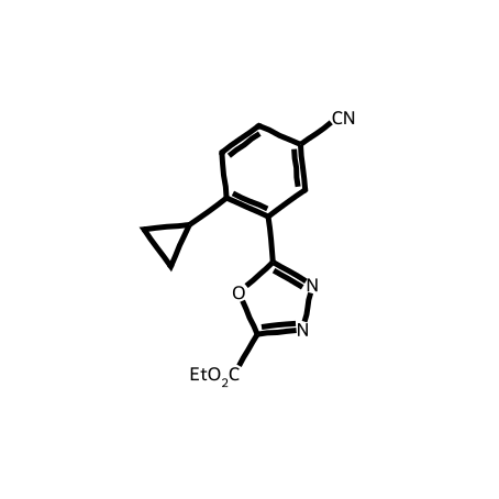 CCOC(=O)c1nnc(-c2cc(C#N)ccc2C2CC2)o1